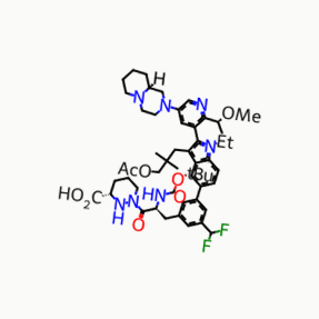 CCn1c(-c2cc(N3CCN4CCCC[C@@H]4C3)cnc2[C@H](C)OC)c(CC(C)(C)COC(C)=O)c2cc(-c3cc(C[C@H](NC(=O)OC(C)(C)C)C(=O)N4CCC[C@@H](C(=O)O)N4)cc(C(F)F)c3)ccc21